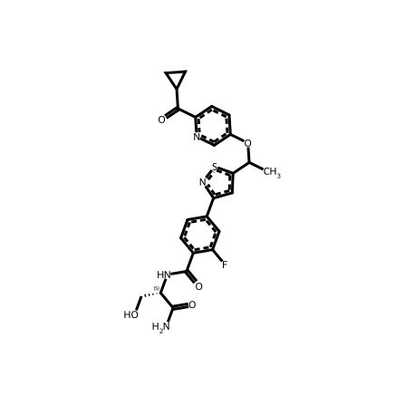 CC(Oc1ccc(C(=O)C2CC2)nc1)c1cc(-c2ccc(C(=O)N[C@@H](CO)C(N)=O)c(F)c2)ns1